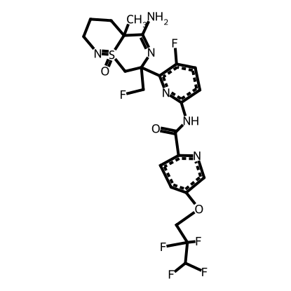 CC12CCCN=S1(=O)CC(CF)(c1nc(NC(=O)c3ccc(OCC(F)(F)C(F)F)cn3)ccc1F)N=C2N